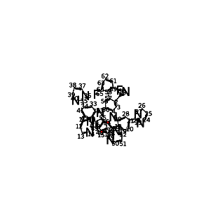 N#Cc1cc(-n2c3cc(-c4ncccn4)ccc3c3ccc(-c4ncccn4)cc32)c(-n2c3cc(-c4ncccn4)ccc3c3ccc(-c4ncccn4)cc32)cc1-c1c(F)cccc1F